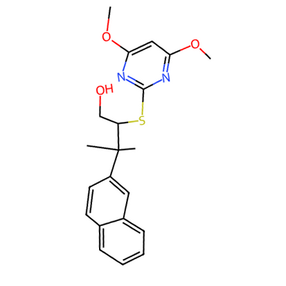 COc1cc(OC)nc(SC(CO)C(C)(C)c2ccc3ccccc3c2)n1